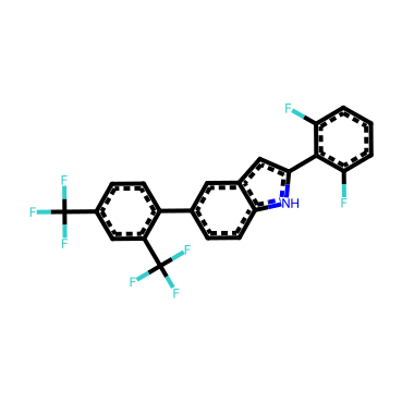 Fc1cccc(F)c1-c1cc2cc(-c3ccc(C(F)(F)F)cc3C(F)(F)F)ccc2[nH]1